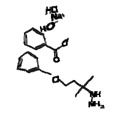 CC(C)(CCCl)NN.Cc1ccccc1.Cl.O=C(Cl)c1ccccc1.[Na+].[OH-]